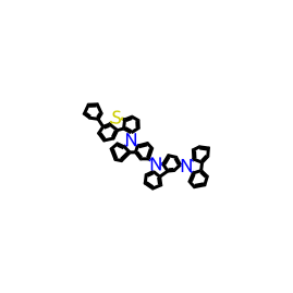 c1ccc(-c2cccc3c2sc2cccc(-n4c5ccccc5c5cc(-n6c7ccccc7c7cc(-n8c9ccccc9c9ccccc98)ccc76)ccc54)c23)cc1